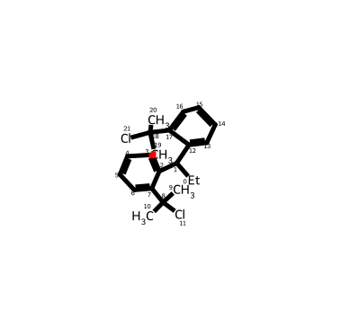 CCC(c1ccccc1C(C)(C)Cl)c1ccccc1C(C)(C)Cl